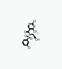 C#CCN(C(=O)c1cnc(Cl)nc1C(F)(F)F)S(=O)(=O)c1cccc(Cl)c1